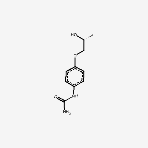 C[C@@H](O)COc1ccc(NC(N)=O)cc1